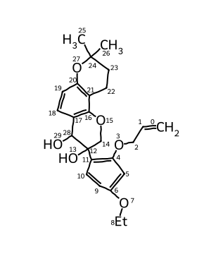 C=CCOc1cc(OCC)ccc1C1(O)COc2c(ccc3c2CCC(C)(C)O3)C1O